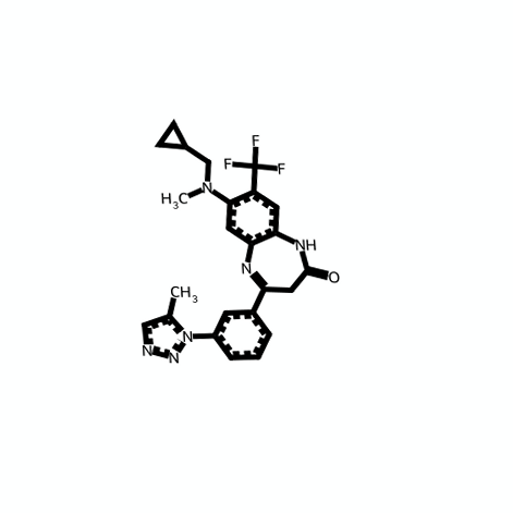 Cc1cnnn1-c1cccc(C2=Nc3cc(N(C)CC4CC4)c(C(F)(F)F)cc3NC(=O)C2)c1